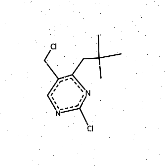 [CH2]C(C)(C)Cc1nc(Cl)ncc1CCl